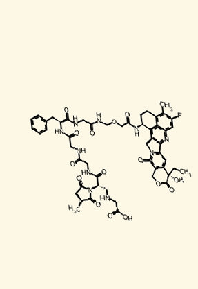 CC[C@@]1(O)C(=O)OCc2c1cc1n(c2=O)Cc2c-1nc1cc(F)c(C)c3c1c2[C@@H](NC(=O)COCNC(=O)CNC(=O)[C@H](Cc1ccccc1)NC(=O)CNC(=O)CNC(=O)[C@H](CNCC(=O)O)N1C(=O)CC(C)C1=O)CC3